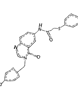 O=C(CSc1ccncc1)Nc1ccc2ncn(Cc3ccc(Cl)cc3)c(=O)c2c1